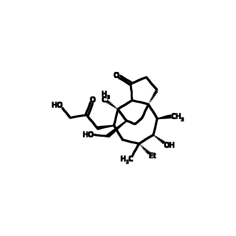 CC[C@]1(C)C[C@@H](CC(=O)CO)[C@@]2(C)C3C(=O)CC[C@@]3(CC[C@H]2CO)[C@@H](C)[C@@H]1O